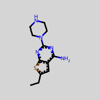 CCc1cc2c(N)nc(N3CCNCC3)nc2s1